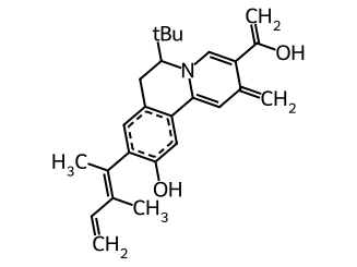 C=C/C(C)=C(\C)c1cc2c(cc1O)C1=CC(=C)C(C(=C)O)=CN1C(C(C)(C)C)C2